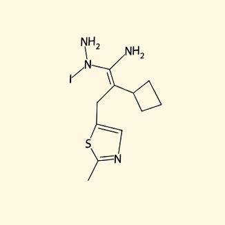 Cc1ncc(C/C(=C(/N)N(N)I)C2CCC2)s1